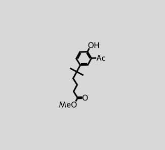 COC(=O)CCCC(C)(C)c1ccc(O)c(C(C)=O)c1